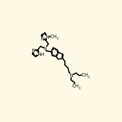 CCCN(CCC)CCCCC1=Cc2ccc(CN(Cc3ncc[nH]3)Cc3nccn3C)cc2C1